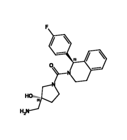 NC[C@]1(O)CCN(C(=O)N2CCc3ccccc3[C@@H]2c2ccc(F)cc2)C1